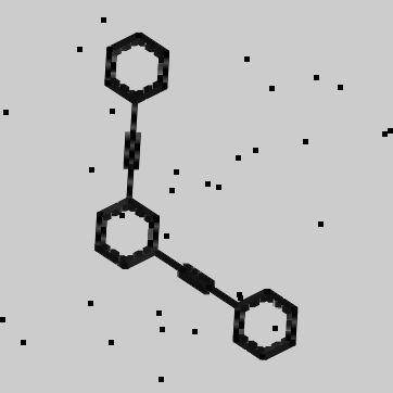 C(#Cc1cccc(C#Cc2ccccc2)c1)c1ccccc1